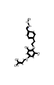 CCO/N=C/c1ccc(CCOc2c(Cl)cc(OCC=C(Cl)Cl)cc2Cl)cc1